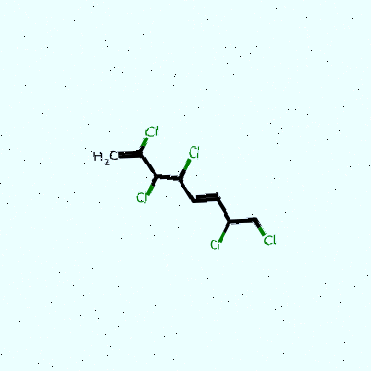 C=C(Cl)C(Cl)C(Cl)C=CC(Cl)CCl